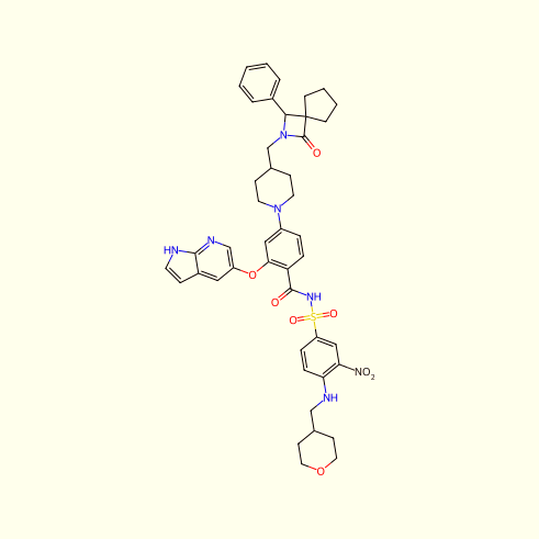 O=C(NS(=O)(=O)c1ccc(NCC2CCOCC2)c([N+](=O)[O-])c1)c1ccc(N2CCC(CN3C(=O)C4(CCCC4)C3c3ccccc3)CC2)cc1Oc1cnc2[nH]ccc2c1